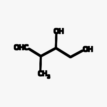 CC(C=O)C(O)CO